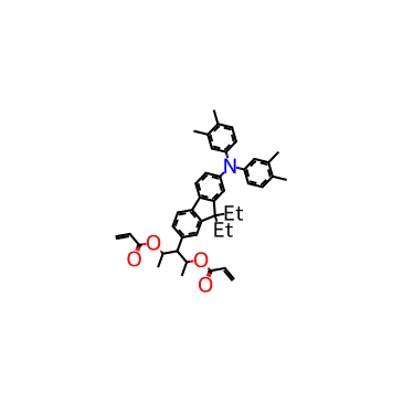 C=CC(=O)OC(C)C(c1ccc2c(c1)C(CC)(CC)c1cc(N(c3ccc(C)c(C)c3)c3ccc(C)c(C)c3)ccc1-2)C(C)OC(=O)C=C